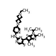 CCN1CC2(C1)CN(c1ccc(Nc3ncc(F)c(-c4sc5c(nc(C)n5C(C)C)c4C)n3)nc1)C2